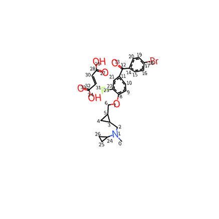 CN(CC1CC1COc1ccc(C(=O)c2ccc(Br)cc2)cc1F)C1CC1.O=C(O)C=CC(=O)O